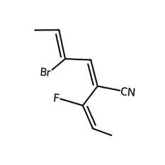 C/C=C(Br)/C=C(C#N)\C(F)=C/C